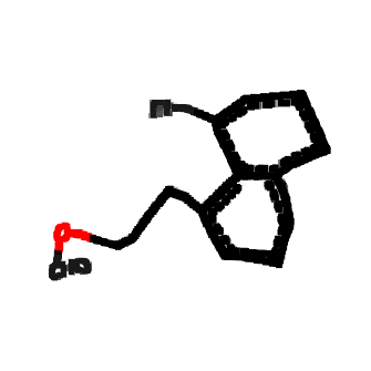 CCc1cccc2cccc(CCOC=O)c12